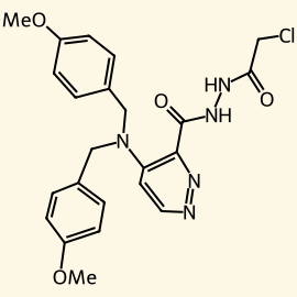 COc1ccc(CN(Cc2ccc(OC)cc2)c2ccnnc2C(=O)NNC(=O)CCl)cc1